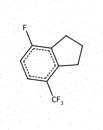 Fc1ccc(C(F)(F)F)c2c1CCC2